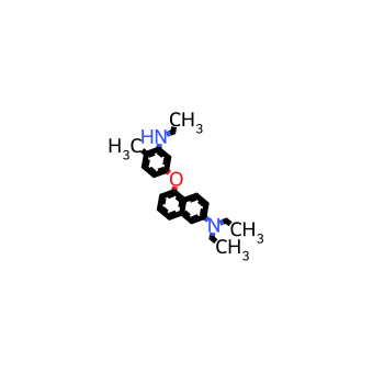 CCNc1cc(Oc2cccc3cc(N(CC)CC)ccc23)ccc1C